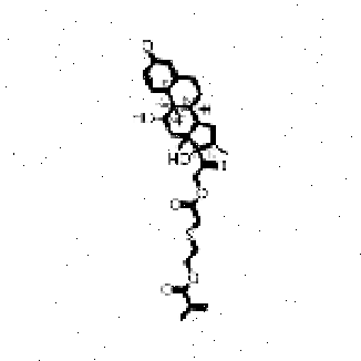 C=C(C)C(=O)OCCSCC(=O)OCC(=O)[C@@]1(O)[C@H](C)CC2[C@@H]3CCC4=CC(=O)C=C[C@]4(C)[C@@]3(F)[C@@H](O)CC21C